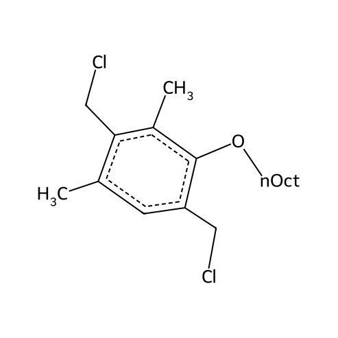 CCCCCCCCOc1c(CCl)cc(C)c(CCl)c1C